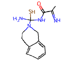 CC(=N)C(=O)NC(N)(S)N1CCc2ccccc2C1